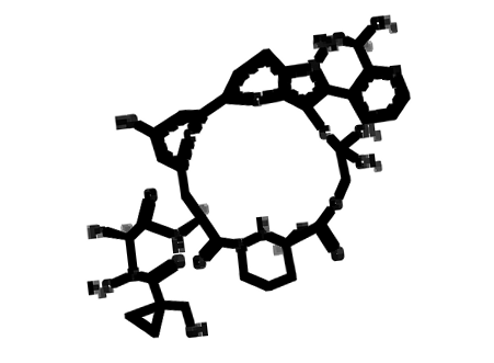 CCn1c(-c2cccnc2[C@H](C)OC)c2c3cc(ccc31)-c1cc(O)cc(c1)C[C@H](NC(=O)[C@H](C(C)C)N(C)C(=O)C1(CO)CC1)C(=O)N1CCC[C@H](N1)C(=O)OCC(C)(C)C2